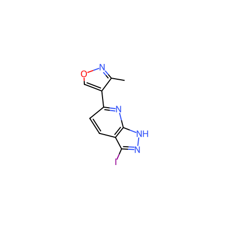 Cc1nocc1-c1ccc2c(I)n[nH]c2n1